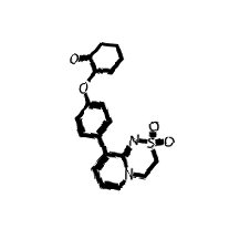 O=C1CCCCC1Oc1ccc(C2=CC=CN3CCS(=O)(=O)N=C23)cc1